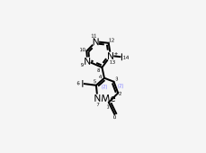 C=C/C=C\C(=C(\I)NC)c1ncnc[n+]1I